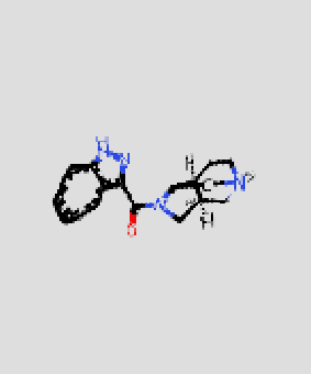 O=C(c1n[nH]c2ccccc12)N1C[C@@H]2C[N@@]3CC[C@@H]2C1C3